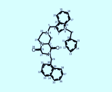 O=C1C2CN(Cc3cn(Cc4ccccc4)c4ccccc34)CCN2C(=O)CN1Cc1cccc2ccccc12